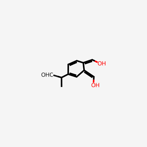 CC(C=O)c1ccc(=CO)c(=CO)c1